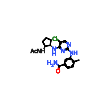 CC(=O)N[C@H]1CCC[C@@H]1Nc1nc(Nc2cc(C(N)=O)ccc2C)ncc1Cl